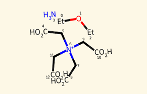 CCOCC.N.O=C(O)C[N+](CC(=O)O)(CC(=O)O)CC(=O)O